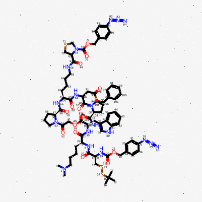 CN(C)CCCC[C@H](NC(=O)[C@H](CSSC(C)(C)C)NC(=O)OCc1ccc(N=[N+]=[N-])cc1)C(=O)N[C@@H](Cc1c[nH]c2ccccc12)C(=O)OCC(=O)N1CCC[C@H]1C(=O)N[C@@H](CCCCNC(=O)C1CSCN1C(=O)OCc1ccc(N=[N+]=[N-])cc1)C(=O)NC(CC(=O)SCc1ccccc1)C(=O)N1CCC[C@H]1C(N)=O